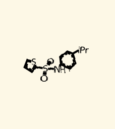 CC(C)c1c[c]c(NS(=O)(=O)c2cccs2)cc1